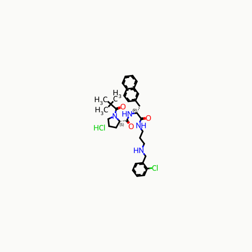 CC(C)(C)C(=O)N1CCC[C@H]1C(=O)N[C@H](Cc1ccc2ccccc2c1)C(=O)NCCCNCc1ccccc1Cl.Cl